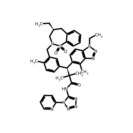 CC[C@H]1Cc2ccccc2S(=O)(=O)N(Cc2cc([C@@H](c3ccc4c(nnn4CC)c3C)C(C)(C)C(=O)Nc3nnnn3-c3ccccn3)ccc2C)C1